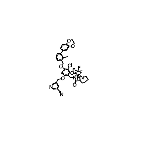 Cc1c(COc2cc(OCc3cncc(C#N)c3)c(CN(C(=O)[C@@H]3CCCCN3)S(=O)(=O)C(F)(F)F)cc2Cl)cccc1-c1ccc2c(c1)OCCO2